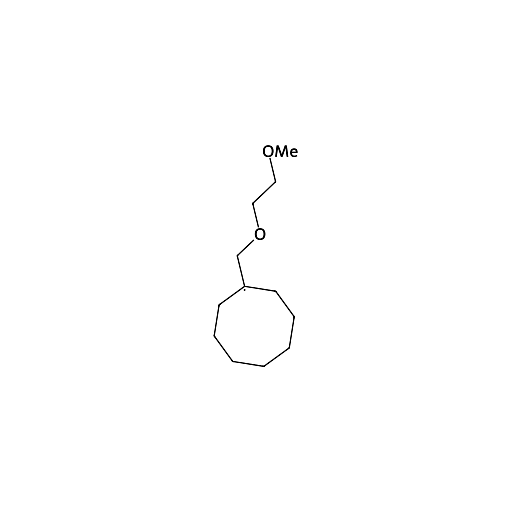 COCCOC[C]1CCCCCCC1